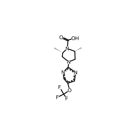 C[C@@H]1CN(c2ncc(OC(F)(F)F)cn2)C[C@H](C)N1C(=O)O